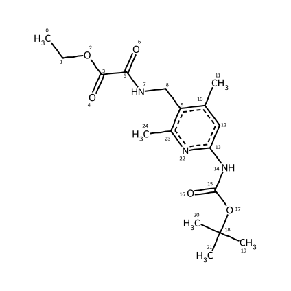 CCOC(=O)C(=O)NCc1c(C)cc(NC(=O)OC(C)(C)C)nc1C